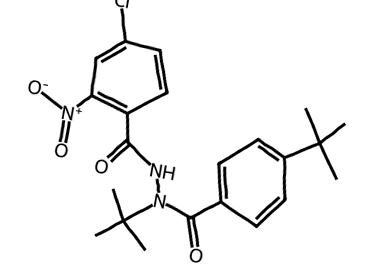 CC(C)(C)c1ccc(C(=O)N(NC(=O)c2ccc(Cl)cc2[N+](=O)[O-])C(C)(C)C)cc1